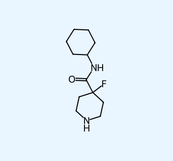 O=C(NC1CCCCC1)C1(F)CCNCC1